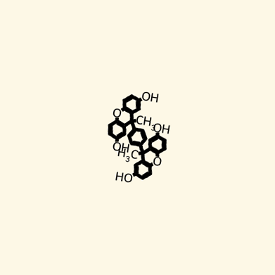 CC1(c2ccc(C3(C)c4cc(O)ccc4Oc4ccc(O)cc43)cc2)c2cc(O)ccc2Oc2ccc(O)cc21